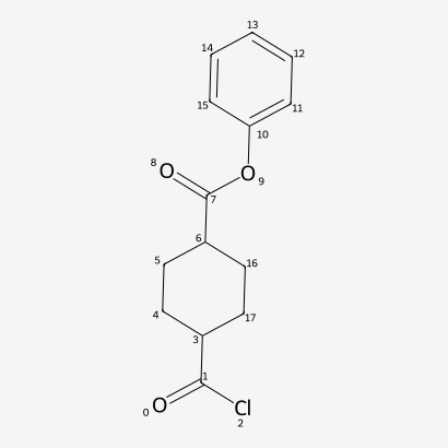 O=C(Cl)C1CCC(C(=O)Oc2ccccc2)CC1